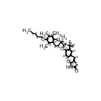 CCCCCOc1c(C)c(C)c2c(c1C)CCC(C)(COc1ccc(C=C3SC(=O)NC3=O)cc1C(F)(F)F)O2